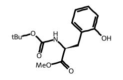 COC(=O)[C@H](Cc1ccccc1O)NC(=O)OC(C)(C)C